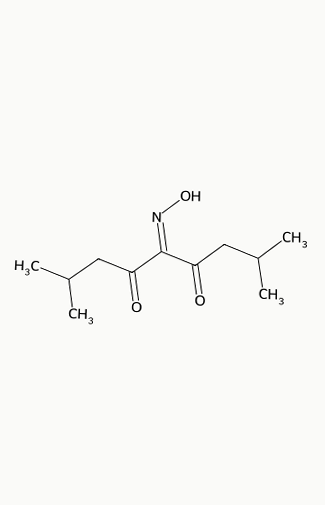 CC(C)CC(=O)C(=NO)C(=O)CC(C)C